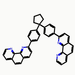 c1cnc2c(c1)ccc1ccc(-c3ccc(C4(c5ccc(-c6ccc7ccc8cccnc8c7n6)cc5)CCCC4)cc3)nc12